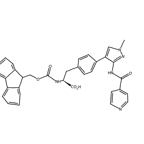 Cn1cc(-c2ccc(C[C@H](NC(=O)OCC3c4ccccc4-c4ccccc43)C(=O)O)cc2)c(NC(=O)c2ccncc2)n1